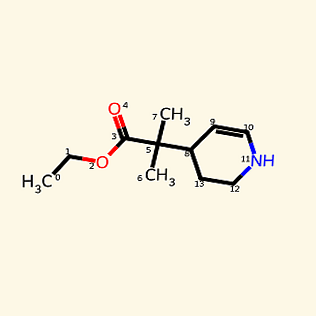 CCOC(=O)C(C)(C)C1C=CNCC1